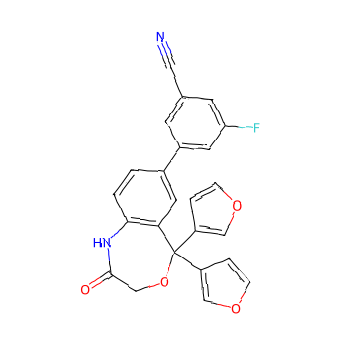 N#Cc1cc(F)cc(-c2ccc3c(c2)C(c2ccoc2)(c2ccoc2)OCC(=O)N3)c1